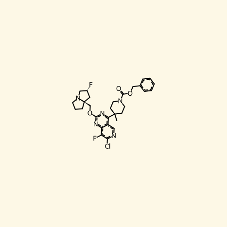 CC1(c2nc(OC[C@@]34CCCN3C[C@H](F)C4)nc3c(F)c(Cl)ncc23)CCN(C(=O)OCc2ccccc2)CC1